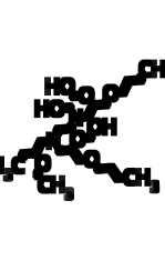 CCCCOCC(CN(CO)CCN(CC(CC)OCC)CC(COCCCC)OCO)OCO